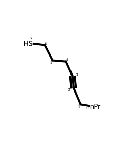 CCCCC#CCCCS